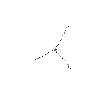 CCCCCCCCCC[PH](CC)(CCCCCCCCCC)CCCCCCCCCC